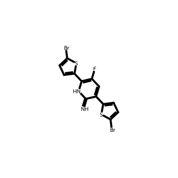 N=c1[nH]c(-c2ccc(Br)s2)c(F)cc1-c1ccc(Br)s1